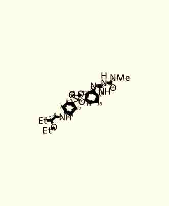 CCOC(CC)CNc1ccc(S(=O)(=O)Oc2ccc3[nH]c(NC(=O)NC)nc3c2)cc1